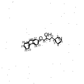 OC(CCc1cccnc1)COc1ccc2c(c1)Cc1ccccc1-2